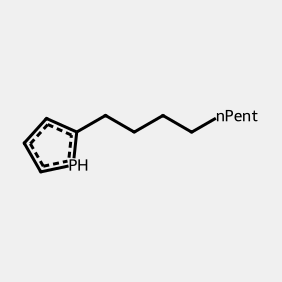 CCCCCCCCCc1ccc[pH]1